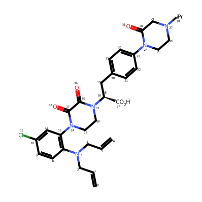 C=CCN(CC=C)c1ccc(Cl)cc1N1CCN([C@@H](Cc2ccc(N3CCN(C(C)C)CC3=O)cc2)C(=O)O)C(=O)C1=O